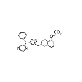 O=C(O)COc1cccc2c1CCC(Cn1cc(C(c3ccccc3)c3cnccn3)cn1)C2